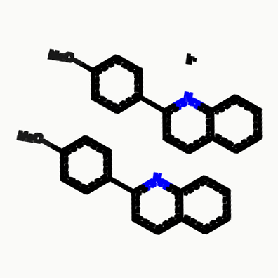 COc1ccc(-c2ccc3ccccc3n2)cc1.COc1ccc(-c2ccc3ccccc3n2)cc1.[Ir]